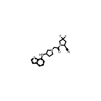 N#CC1CC(F)(F)CN1C(=O)CN1CCC(Nc2cccc3ccsc23)C1